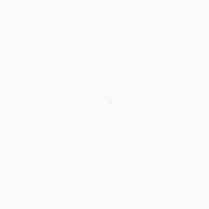 CCc1c(C(=O)O)c(=O)c2ccccc2n1Cc1ccccc1